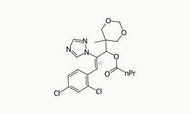 CCCC(=O)OC(/C(=C/c1ccc(Cl)cc1Cl)n1cncn1)C1(C)COCOC1